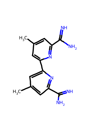 Cc1cc(C(=N)N)nc(-c2cc(C)cc(C(=N)N)n2)c1